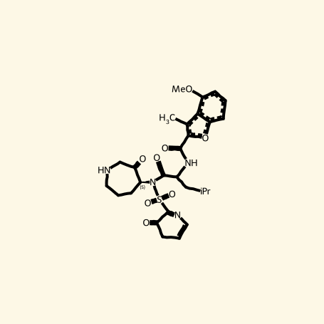 COc1cccc2oc(C(=O)NC(CC(C)C)C(=O)N([C@H]3CCCNCC3=O)S(=O)(=O)C3=NC=CCC3=O)c(C)c12